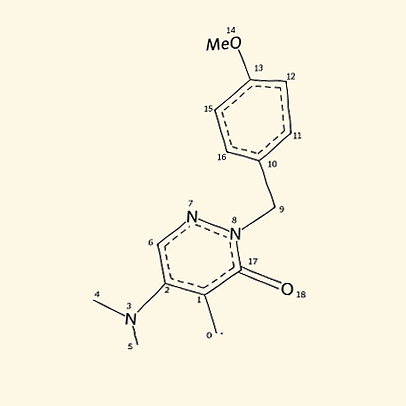 [CH2]c1c(N(C)C)cnn(Cc2ccc(OC)cc2)c1=O